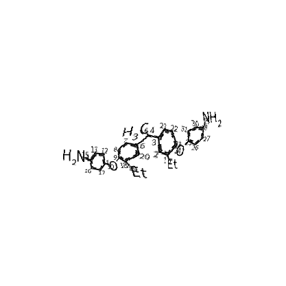 CCc1cc(C(C)c2ccc(Oc3ccc(N)cc3)c(CC)c2)ccc1Oc1ccc(N)cc1